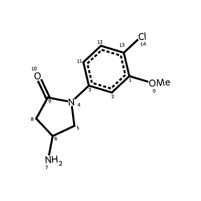 COc1cc(N2CC(N)CC2=O)ccc1Cl